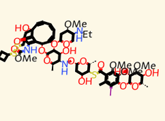 CCN[C@H]1CO[C@@H](O[C@H]2[C@H](O[C@H]3C#C/C=C\C#C[C@]4(O)CC(=O)C(NC(=O)OC)=C3/C4=C\CSSC3CCC3)O[C@H](C)[C@@H](NO[C@H]3C[C@H](O)[C@H](SC(=O)c4c(C)c(I)c(O[C@@H]5O[C@@H](C)[C@H](O)[C@@H](OC)[C@H]5O)c(OC)c4OC)[C@@H](C)O3)[C@@H]2O)C[C@@H]1OC